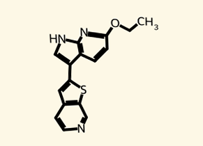 CCOc1ccc2c(-c3cc4ccncc4s3)c[nH]c2n1